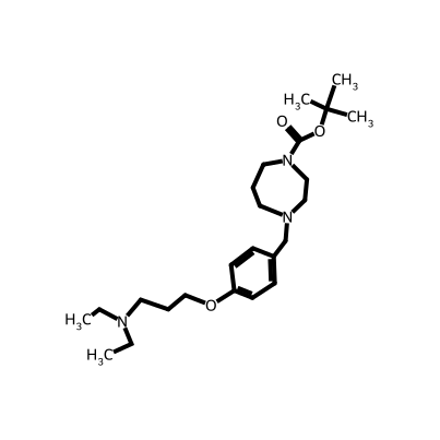 CCN(CC)CCCOc1ccc(CN2CCCN(C(=O)OC(C)(C)C)CC2)cc1